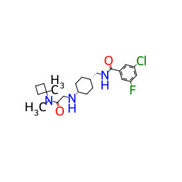 CN(C(=O)CN[C@H]1CC[C@@H](CNC(=O)c2cc(F)cc(Cl)c2)CC1)C1(C)CCC1